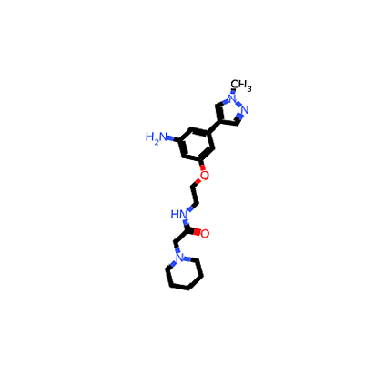 Cn1cc(-c2cc(N)cc(OCCNC(=O)CN3CCCCC3)c2)cn1